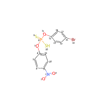 O=[N+]([O-])c1ccc(OP(=S)(S)Oc2ccc(Br)cc2)cc1